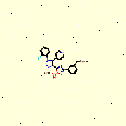 CNCc1cccc(-c2noc(-c3nnn(-c4ccccc4F)c3-c3ccncc3)n2)c1.O=CO